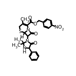 CC1=C(C(=O)OCc2ccc([N+](=O)[O-])cc2)N2C(=O)C(N3C(=O)C(c4ccccc4)NC3(C)C)[C@@H]2SC1